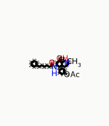 CC(=O)Oc1cccc([C@@]23CCN(C)C[C@H]2C(O)C[C@@H](NC(=O)CCCCCc2ccccc2)C3)c1